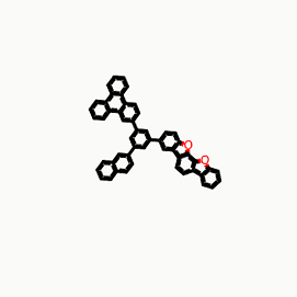 c1ccc2cc(-c3cc(-c4ccc5oc6c(ccc7c8ccccc8oc76)c5c4)cc(-c4ccc5c6ccccc6c6ccccc6c5c4)c3)ccc2c1